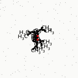 CCCCC(CC)COC(=O)c1ccc(C(c2cccc(C(=O)OCC(CC)CCCC)c2C(=O)OCC(CC)CCCC)(C(F)(F)F)C(F)(F)F)cc1C(=O)OCC(CC)CCCC